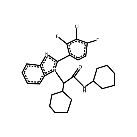 O=C(NC1CCCCC1)C(C1CCCCC1)n1c(-c2ccc(F)c(Cl)c2F)nc2ccccc21